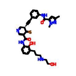 Cc1cc(C(=O)Nc2cccc(C#C[C@H]3C=NC=C(C(=O)Nc4cccc(CCCNCCO)c4O)C3=S)c2)n(C)n1